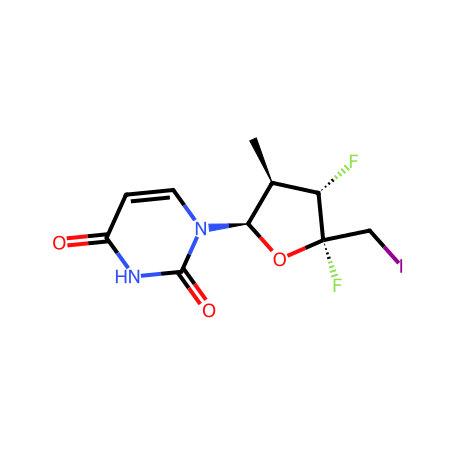 C[C@@H]1[C@H](n2ccc(=O)[nH]c2=O)O[C@](F)(CI)[C@H]1F